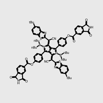 CCCCB(CCCC)n1c(-c2ccc(OC(=O)c3ccc4c(c3)C(=O)NC4=O)cc2)c2/c(=C(\C#N)c3nc4cc(C(C)(C)C)ccc4s3)n(B(CCCC)CCCC)c(-c3ccc(OC(=O)c4ccc5c(c4)C(=O)NC5=O)cc3)c2/c1=C(\C#N)c1nc2cc(C(C)(C)C)ccc2s1